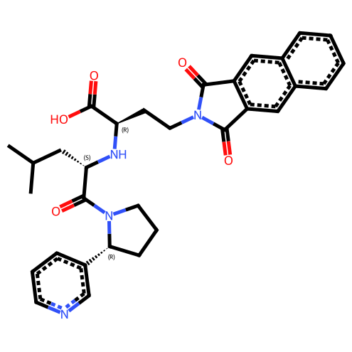 CC(C)C[C@H](N[C@H](CCN1C(=O)c2cc3ccccc3cc2C1=O)C(=O)O)C(=O)N1CCC[C@@H]1c1cccnc1